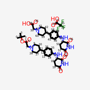 CC(C)(C)OC(=O)CN1CCC(c2ccc(N[C@@H]3CCC(=O)NC3=O)cc2)CC1.O=C(O)C(F)(F)F.O=C(O)CN1CCC(c2ccc(N[C@@H]3CCC(=O)NC3=O)cc2)CC1